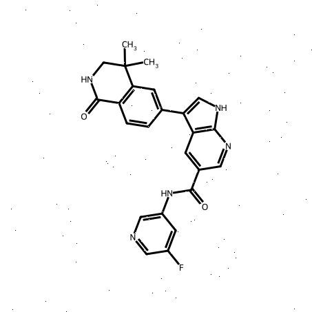 CC1(C)CNC(=O)c2ccc(-c3c[nH]c4ncc(C(=O)Nc5cncc(F)c5)cc34)cc21